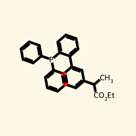 CCOC(=O)C(C)c1cccc(-c2ccccc2P(c2ccccc2)c2ccccc2)c1